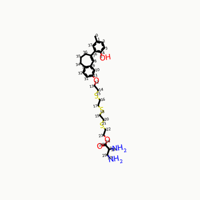 Cc1ccc(O)c(C2=Cc3cc(OCCSCCSCCSCCOC(=O)C(N)CN)ccc3CCC2)c1